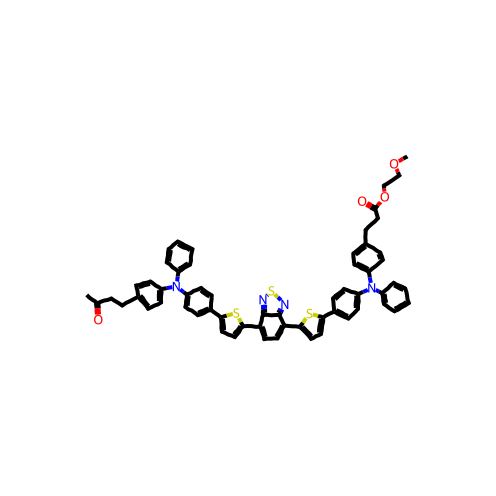 COCCOC(=O)CCc1ccc(N(c2ccccc2)c2ccc(-c3ccc(-c4ccc(-c5ccc(-c6ccc(N(c7ccccc7)c7ccc(CCC(C)=O)cc7)cc6)s5)c5nsnc45)s3)cc2)cc1